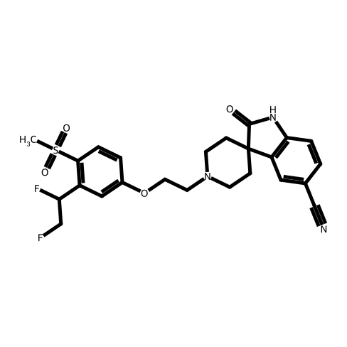 CS(=O)(=O)c1ccc(OCCN2CCC3(CC2)C(=O)Nc2ccc(C#N)cc23)cc1C(F)CF